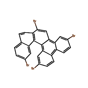 Brc1ccc2c3ccc(Br)cc3c3c(cc(Br)c4ccc5ccc(Br)cc5c43)c2c1